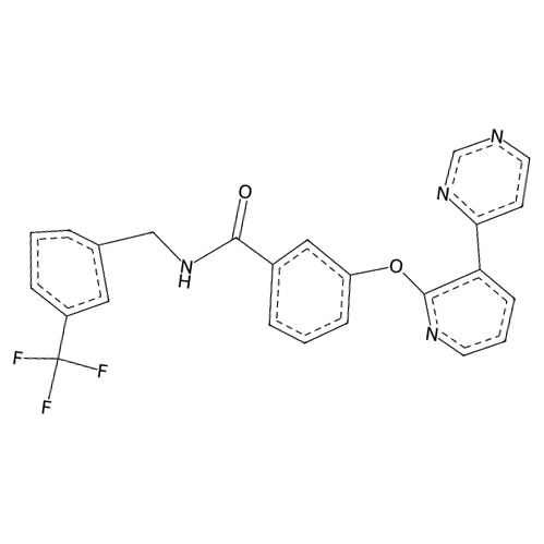 O=C(NCc1cccc(C(F)(F)F)c1)c1cccc(Oc2ncccc2-c2ccncn2)c1